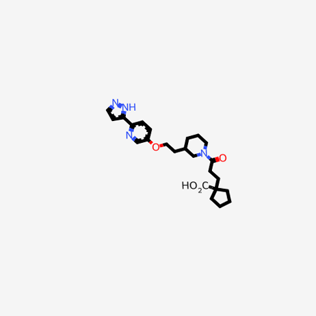 O=C(CCC1(C(=O)O)CCCC1)N1CCCC(CCOc2ccc(-c3ccn[nH]3)nc2)C1